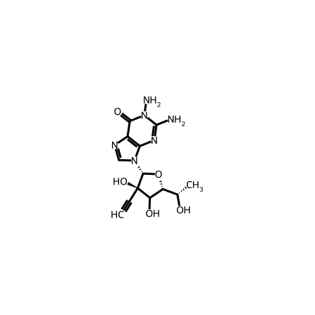 C#C[C@@]1(O)C(O)[C@@H]([C@H](C)O)O[C@H]1n1cnc2c(=O)n(N)c(N)nc21